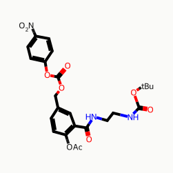 CC(=O)Oc1ccc(COC(=O)Oc2ccc([N+](=O)[O-])cc2)cc1C(=O)NCCNC(=O)OC(C)(C)C